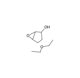 CCOCC.OC1CCC2OC12